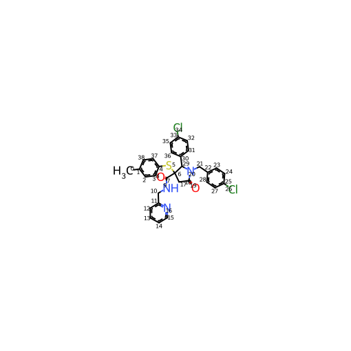 Cc1ccc(SC2(C(=O)NCc3ccccn3)CC(=O)N(Cc3ccc(Cl)cc3)C2c2ccc(Cl)cc2)cc1